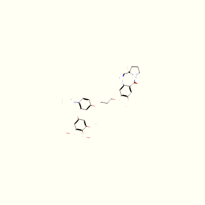 COc1cc2c(cc1OCCCOc1ccc(N)c(Oc3cc(OC)c(OC)c(OC)c3)c1)N=C[C@@H]1CCCN1C2=O